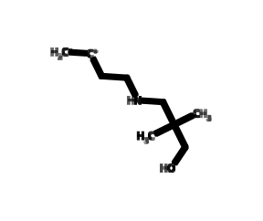 [CH2-][CH+]CCNCC(C)(C)CO